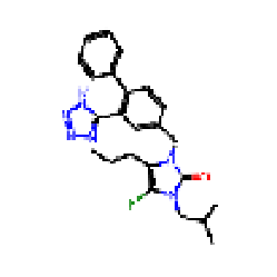 CCCc1c(F)n(CC(C)C)c(=O)n1Cc1ccc(-c2ccccc2)c(-c2nnn[nH]2)c1